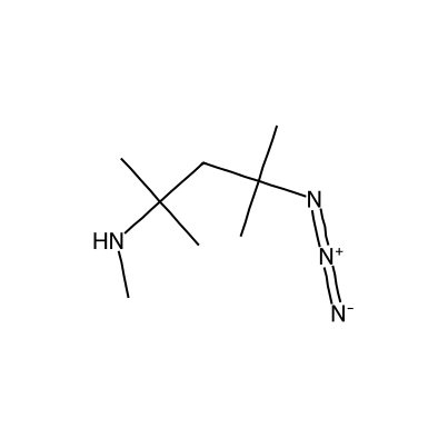 CNC(C)(C)CC(C)(C)N=[N+]=[N-]